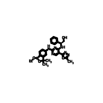 CCOB1OC(C)(C)c2cc(Nc3ncc(-c4nnc(C)o4)c(N[C@H](CO)c4ccccc4)n3)ccc21